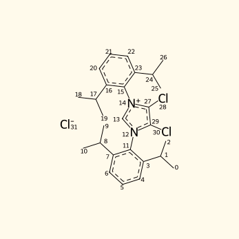 CC(C)c1cccc(C(C)C)c1-n1c[n+](-c2c(C(C)C)cccc2C(C)C)c(Cl)c1Cl.[Cl-]